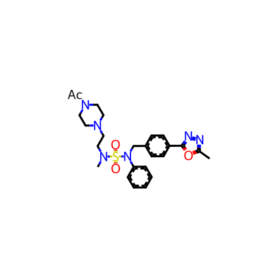 CC(=O)N1CCN(CCN(C)S(=O)(=O)N(Cc2ccc(-c3nnc(C)o3)cc2)c2ccccc2)CC1